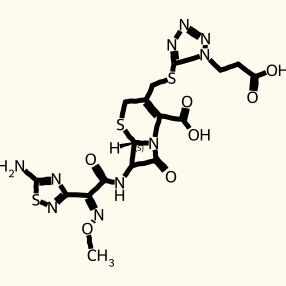 CON=C(C(=O)NC1C(=O)N2C(C(=O)O)=C(CSc3nnnn3CCC(=O)O)CS[C@@H]12)c1nsc(N)n1